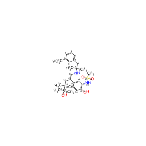 CC(C)(Cc1cccc(C(=O)O)c1)NC[C@H](CC(C)(C)[Si](C)(C)O)c1ccc(O)c(NS(C)(=O)=O)c1